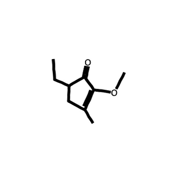 CCC1CC(C)=C(OC)C1=O